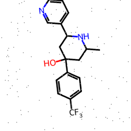 CC1CC(O)(c2ccc(C(F)(F)F)cc2)CC(c2cccnc2)N1